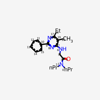 CCCN(CCC)C(=O)CNc1nc(-c2ccccc2)nc(CC)c1C